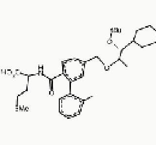 CSCC[C@H](NC(=O)c1ccc(COC(C)[C@H](OC(C)(C)C)C2CCCCC2)cc1-c1ccccc1C)C(=O)O